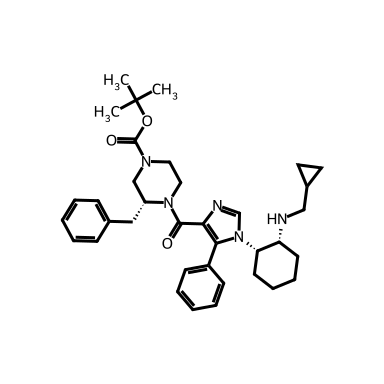 CC(C)(C)OC(=O)N1CCN(C(=O)c2ncn([C@H]3CCCC[C@H]3NCC3CC3)c2-c2ccccc2)[C@H](Cc2ccccc2)C1